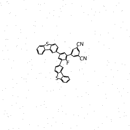 N#Cc1cc(C#N)cc(-c2cc(-c3ccc4sc5ccccc5c4c3)cc(-c3ccc4sc5ccccc5c4c3)c2F)c1